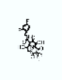 CCN1C(=O)c2c(O)c(=O)c(C(=O)NCc3ccc(F)cc3F)c3n2N(CC3O)C1C